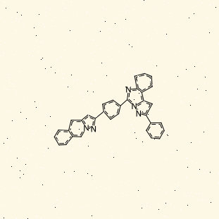 c1ccc(-c2cc3c4ccccc4nc(-c4ccc(-c5cc6cc7ccccc7cn6n5)cc4)n3n2)cc1